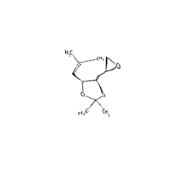 CC(C)=C[C@@H]1OC(C)(C)O[C@@H]1[C@H]1CO1